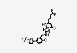 Cn1ccc(-c2ccc(Cl)c(CNc3nc4[nH]c(CCCC(F)F)cc(=O)n4n3)c2)n1